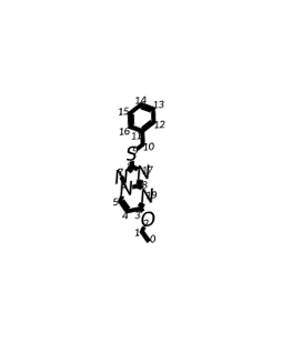 CCOc1ccn2nc(SCc3ccccc3)nc2n1